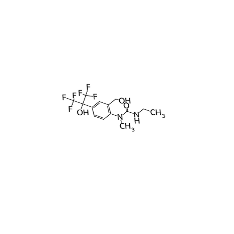 CCNC(=O)N(C)c1ccc(C(O)(C(F)(F)F)C(F)(F)F)cc1CO